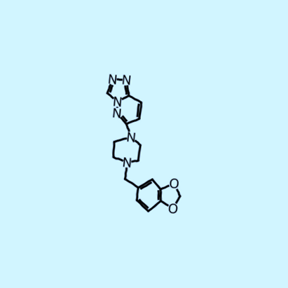 c1cc2c(cc1CN1CCN(c3ccc4nncn4n3)CC1)OCO2